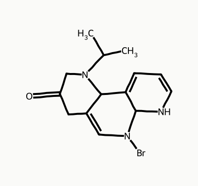 CC(C)N1CC(=O)CC2=CN(Br)C3NC=CC=C3C21